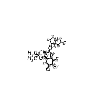 CC(C)(C)Oc1nc(OC[C@@]23CCCN2C[C@H](F)C3)nc2c(F)c(Br)c(Cl)cc12